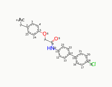 CC(=O)Cc1ccc(OCC(=O)Nc2ccc(-c3ccc(Cl)cc3)cc2)cc1